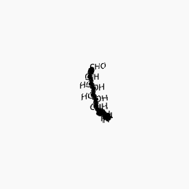 Cc1nnc(-c2ccc(CNC(=O)CCC(O)CCC(O)CCC(O)CCC(O)CCNC(=O)c3ccc(C=O)cc3)cc2)nn1